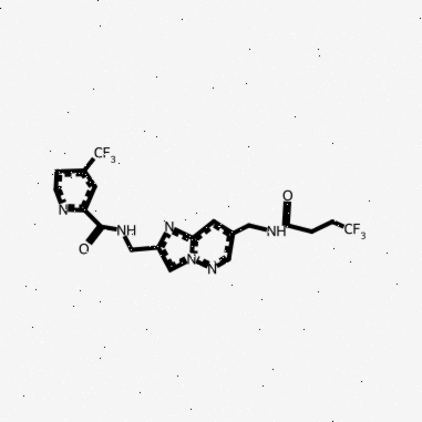 O=C(CCC(F)(F)F)NCc1cnn2cc(CNC(=O)c3cc(C(F)(F)F)ccn3)nc2c1